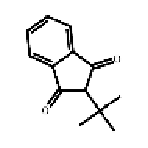 CC(C)(C)C1C(=O)c2ccccc2C1=O